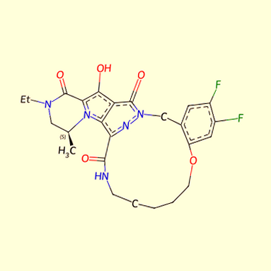 CCN1C[C@H](C)n2c(c(O)c3c(=O)n4nc(c32)C(=O)NCCCCCOc2cc(F)c(F)cc2C4)C1=O